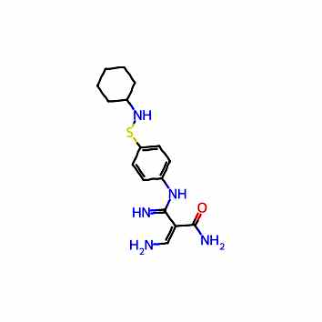 N=C(Nc1ccc(SNC2CCCCC2)cc1)/C(=C\N)C(N)=O